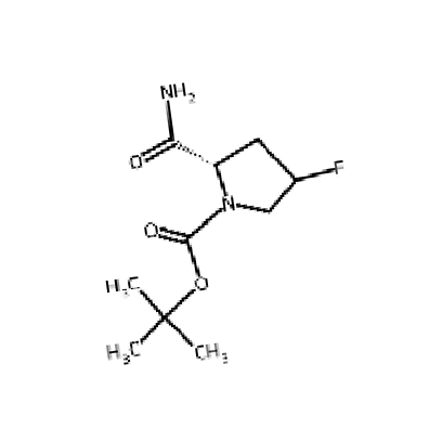 CC(C)(C)OC(=O)N1CC(F)C[C@H]1C(N)=O